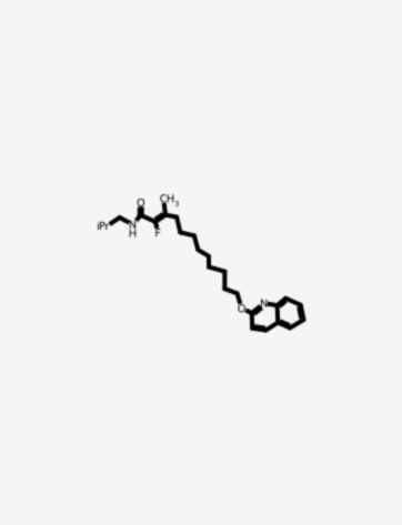 CC(CCCCCCCCCOc1ccc2ccccc2n1)=C(F)C(=O)NCC(C)C